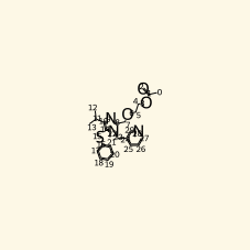 CC(=O)OCCOCc1nc(C(C)C)c(Sc2ccccc2)n1Cc1cccnc1